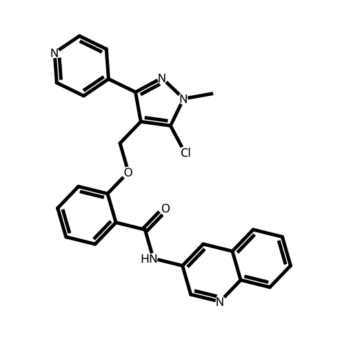 Cn1nc(-c2ccncc2)c(COc2ccccc2C(=O)Nc2cnc3ccccc3c2)c1Cl